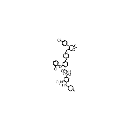 CN1CCC(Nc2ccc(S(=O)(=O)NC(=O)c3ccc(N4CCN(CC5=C(c6ccc(Cl)cc6)CC(C)(C)OC5)CC4)cc3Oc3ccccc3Cl)cc2[N+](=O)[O-])CC1